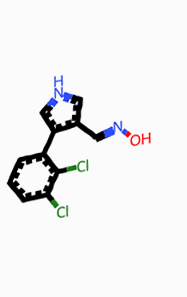 ON=Cc1c[nH]cc1-c1cccc(Cl)c1Cl